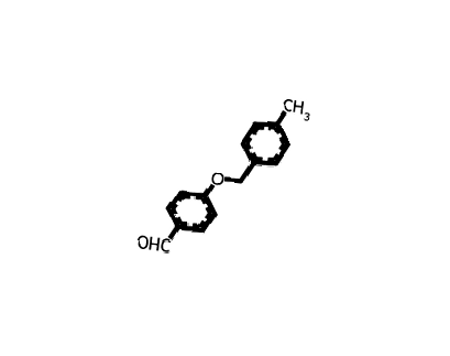 Cc1ccc(COc2ccc(C=O)cc2)cc1